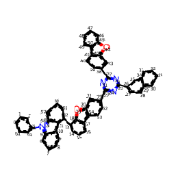 c1ccc(-n2c3ccccc3c3c(-c4cccc5c4oc4cc(-c6nc(-c7ccc8ccccc8c7)nc(-c7ccc8c(c7)oc7ccccc78)n6)ccc45)cccc32)cc1